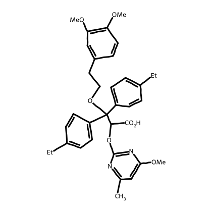 CCc1ccc(C(OCCc2ccc(OC)c(OC)c2)(c2ccc(CC)cc2)C(Oc2nc(C)cc(OC)n2)C(=O)O)cc1